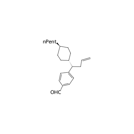 C=CCC(c1ccc(C=O)cc1)[C@H]1CC[C@H](CCCCC)CC1